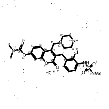 CNS(=O)(=O)Nc1cccc(Cc2c(CN3CCNCC3)c3ccc(OC(=O)N(C)C)cc3oc2=O)c1Cl.Cl